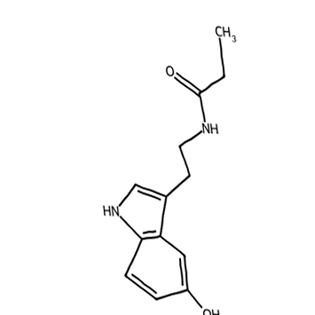 CCC(=O)NCCc1c[nH]c2ccc(O)cc12